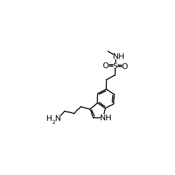 CNS(=O)(=O)CCc1ccc2[nH]cc(CCCN)c2c1